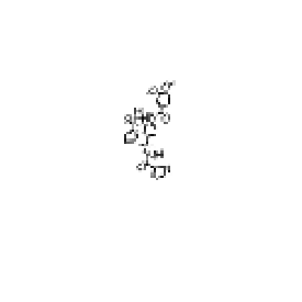 COc1ccc(C(=O)Nc2ccc(C(C)(C)CNC(=O)c3cccnc3)cc2)cc1OC.O=C(O)c1cccs1